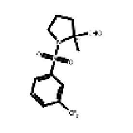 C[C@@]1(C=O)C[CH]CN1S(=O)(=O)c1cccc(C(F)(F)F)c1